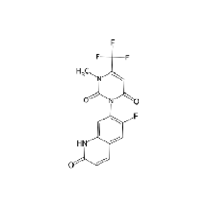 Cn1c(C(F)(F)F)cc(=O)n(-c2cc3[nH]c(=O)ccc3cc2F)c1=O